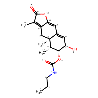 CCCNC(=O)O[C@H]1[C@@H](O)C=C2C=C3OC(=O)C(C)=C3C[C@]2(C)[C@H]1C